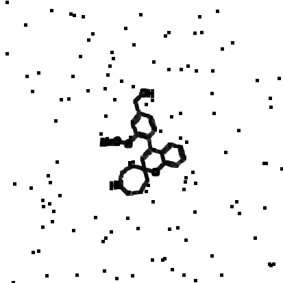 COOc1cc(CO)ccc1C1=CC2(CCCNCC2)Oc2ccccc21